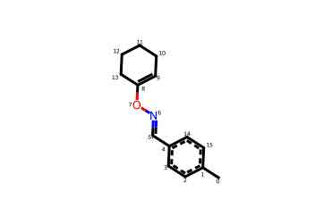 Cc1ccc([C]=NOC2=CCCCC2)cc1